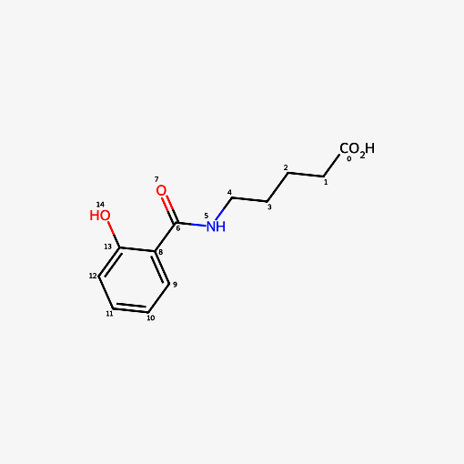 O=C(O)CCCCNC(=O)c1ccccc1O